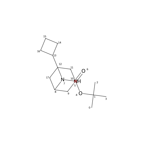 CC(C)(C)OC(=O)N1C2CNCC1(C1CCC1)C2